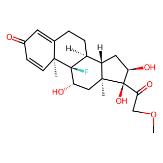 COCC(=O)[C@@]1(O)[C@H](O)C[C@H]2[C@@H]3CCC4=CC(=O)C=C[C@]4(C)[C@@]3(F)[C@@H](O)C[C@@]21C